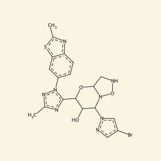 Cc1nc(C2OC3CNON3C(n3cc(Br)cn3)C2O)n(-c2ccc3nc(C)sc3c2)n1